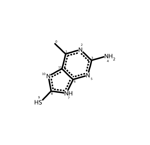 Cc1nc(N)nc2[nH]c(S)nc12